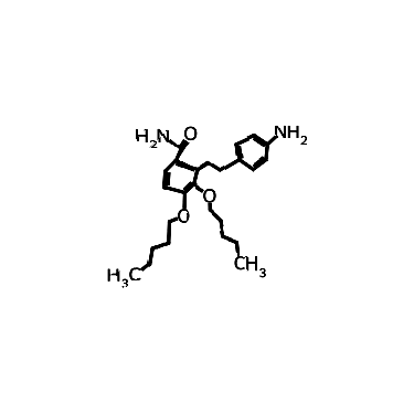 CCCCCOc1ccc(C(N)=O)c(CCc2ccc(N)cc2)c1OCCCCC